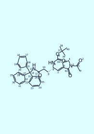 CC(=O)N1CCC(=C[C@H](CCC(=O)NC(c2ccccc2)(c2ccccc2)c2ccccc2)NC(=O)OC(C)(C)C)C1=O